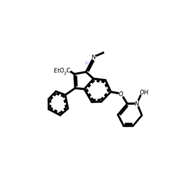 CCOC(=O)C1=C(c2ccccc2)c2ccc(OC3=CC=CCN3O)cc2/C1=N\C